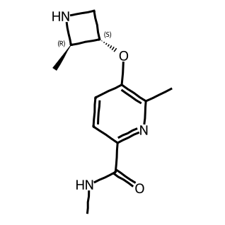 CNC(=O)c1ccc(O[C@H]2CN[C@@H]2C)c(C)n1